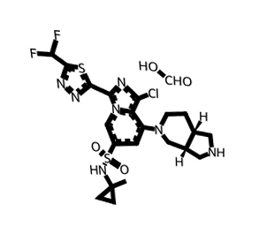 CC1(NS(=O)(=O)c2cc(N3CC[C@@H]4CNC[C@@H]4C3)c3c(Cl)nc(-c4nnc(C(F)F)s4)n3c2)CC1.O=CO